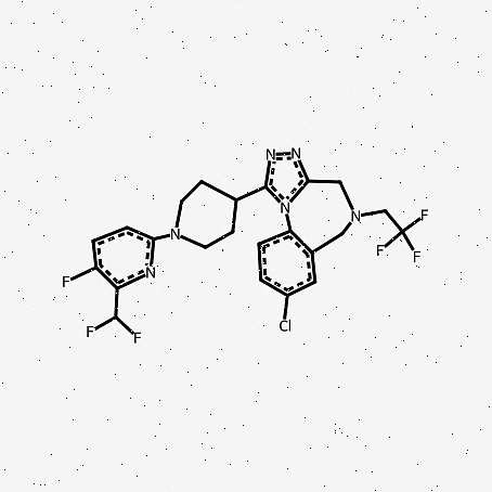 Fc1ccc(N2CCC(c3nnc4n3-c3ccc(Cl)cc3CN(CC(F)(F)F)C4)CC2)nc1C(F)F